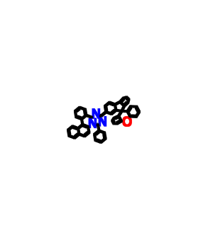 c1ccc(-c2nc(-c3ccc4c(c3)C3(c5ccccc5Oc5ccccc53)c3ccccc3-4)nc(-c3ccccc3-c3cccc4ccccc34)n2)cc1